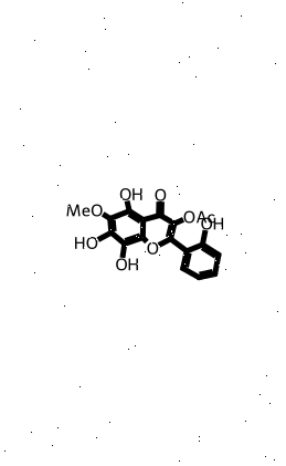 COc1c(O)c(O)c2oc(-c3ccccc3O)c(OC(C)=O)c(=O)c2c1O